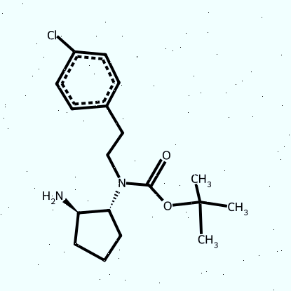 CC(C)(C)OC(=O)N(CCc1ccc(Cl)cc1)[C@@H]1CCC[C@H]1N